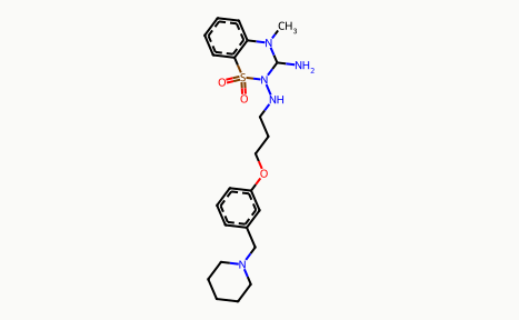 CN1c2ccccc2S(=O)(=O)N(NCCCOc2cccc(CN3CCCCC3)c2)C1N